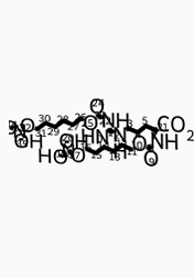 N=C(NCCCC(NC(=O)OCCCCCCON(O)O)C(=O)O)NC(=O)OCCCCCCON(O)O